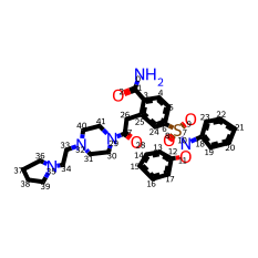 NC(=O)c1ccc(S(=O)(=O)N(Oc2ccccc2)c2ccccc2)cc1CC(=O)N1CCN(CCN2CCCC2)CC1